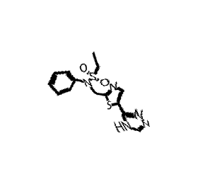 CCS(=O)(=O)N(Cc1ncc(-c2nnc[nH]2)s1)c1ccccc1